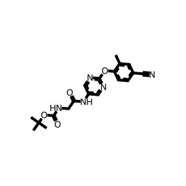 Cc1cc(C#N)ccc1Oc1ncc(NC(=O)CNC(=O)OC(C)(C)C)cn1